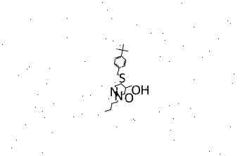 CCCCN1N=CC(SCc2ccc(C(C)(C)C)cc2)C(CO)C1=O